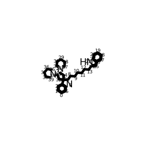 c1ccc2c(c1)N=C(CCCCCCc1cc3ccccc3[nH]1)C2(CCN1CCCCC1)CCN1CCCCC1